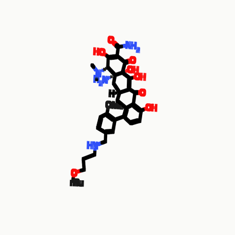 CCCCOCCCNCc1ccc(OC)c(-c2ccc(O)c3c2C[C@H]2C[C@@]4(N)[C@H](N(C)C)C(O)=C(C(N)=O)C(=O)[C@@]4(O)C(O)=C2C3=O)c1